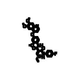 CCN/C=C(\C(=O)Nc1ccc(F)cc1)C(=O)Nc1ccc(Oc2ccnc3cc(OC)c(OC)cc23)cc1OC